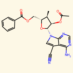 CC(=O)O[C@@H]1[C@H](C)[C@@H](COC(=O)c2ccccc2)O[C@H]1n1cc(C#N)c2c(N)ncnc21